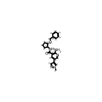 Cn1cc(-c2cnc(N)c(C(=O)NC3CCC[C@@H]3OCc3ccccc3)c2)cn1